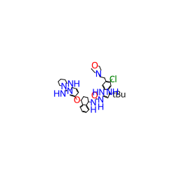 CC(C)(C)C(=N)/C=C(/NC(=O)NC1CC[C@@H](Oc2ccc(=N)n(C(=N)N3CCCCC3)c2)c2ccccc21)Nc1ccc(Cl)c(CCN2CCOCC2)c1